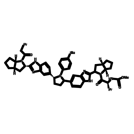 COC(=O)N[C@H](C(=O)N1C(c2nc3cc(C4CC[C@H](c5ccc6[nH]c([C@@H]7C[C@@H]8CCC[C@@H]8N7C(=O)[CH]C(C)C)nc6c5)N4c4ccc(C(C)(C)C)cc4)ccc3[nH]2)C[C@@H]2CCC[C@@H]21)C(C)C